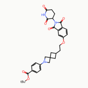 CC(C)(C)OC(=O)c1ccc(N2CC3(CC(CCOc4ccc5c(c4)C(=O)N(C4CCC(=O)NC4=O)C5=O)C3)C2)cc1